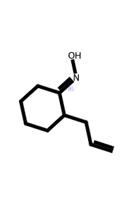 C=CCC1CCCC/C1=N\O